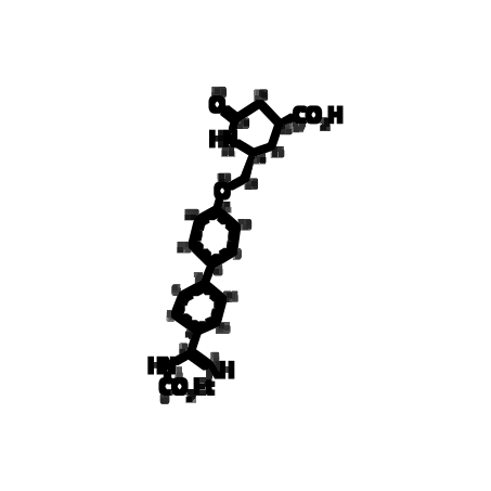 CCOC(=O)NC(=N)c1ccc(-c2ccc(OC[C@@H]3C[C@H](C(=O)O)CC(=O)N3)cc2)cc1